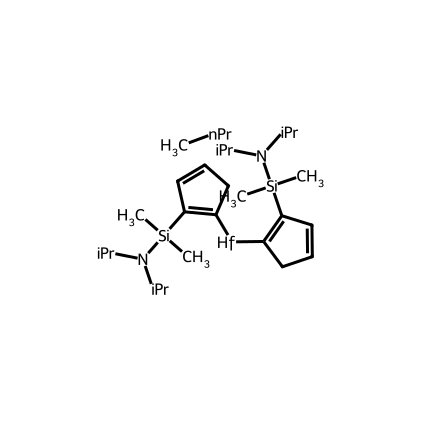 CC(C)N(C(C)C)[Si](C)(C)C1=[C]([Hf][C]2=C([Si](C)(C)N(C(C)C)C(C)C)C=CC2)CC=C1.CCCC